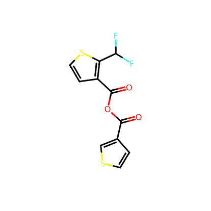 O=C(OC(=O)c1ccsc1C(F)F)c1ccsc1